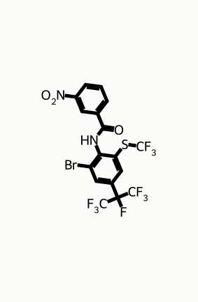 O=C(Nc1c(Br)cc(C(F)(C(F)(F)F)C(F)(F)F)cc1SC(F)(F)F)c1cccc([N+](=O)[O-])c1